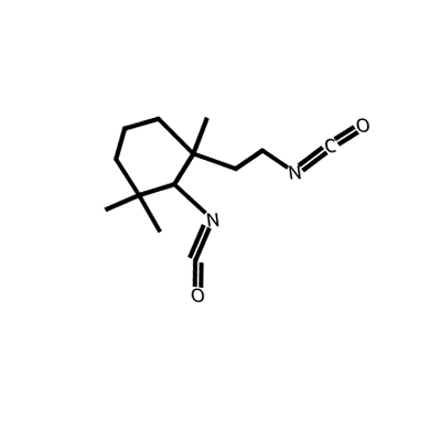 CC1(C)CCCC(C)(CCN=C=O)C1N=C=O